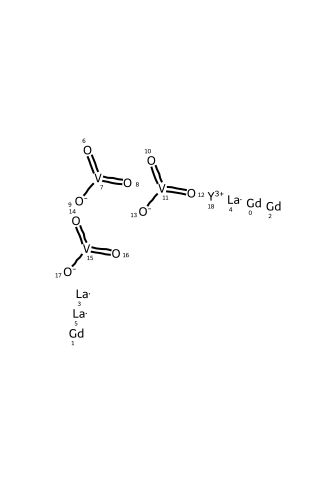 [Gd].[Gd].[Gd].[La].[La].[La].[O]=[V](=[O])[O-].[O]=[V](=[O])[O-].[O]=[V](=[O])[O-].[Y+3]